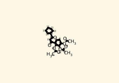 CC(=O)Oc1cc2oc(-c3ccccc3)cc(=O)c2c(OC(C)=O)c1OC(C)=O